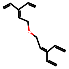 C=CC(C=C)=CCOCC=C(C=C)C=C